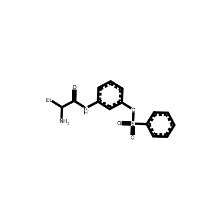 CCC(N)C(=O)Nc1cccc(OS(=O)(=O)c2ccccc2)c1